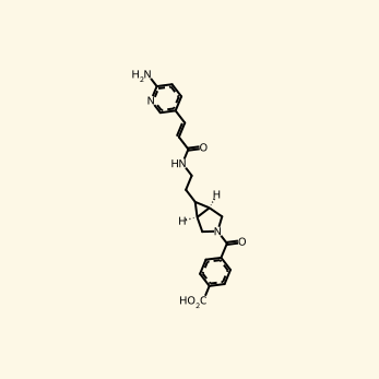 Nc1ccc(/C=C/C(=O)NCCC2[C@H]3CN(C(=O)c4ccc(C(=O)O)cc4)C[C@@H]23)cn1